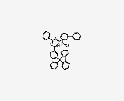 O=PC1(c2nc(-c3ccccc3)nc(-c3cccc(C4(c5ccccc5)c5ccccc5-c5ccccc54)c3)n2)C=CC=C(c2ccccc2)C1